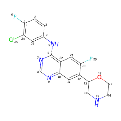 Fc1ccc(Nc2ncnc3cc(C4CNCCO4)c(F)cc23)cc1Cl